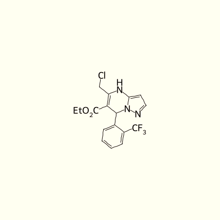 CCOC(=O)C1=C(CCl)Nc2ccnn2C1c1ccccc1C(F)(F)F